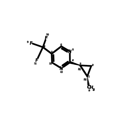 C[C@H]1C[C@@H]1c1ncc(C(F)(F)F)cn1